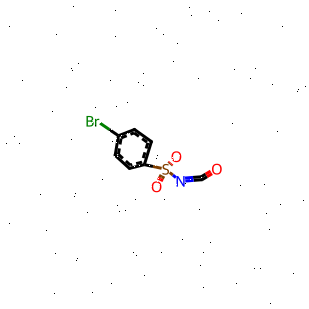 O=C=NS(=O)(=O)c1ccc(Br)cc1